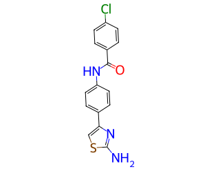 Nc1nc(-c2ccc(NC(=O)c3ccc(Cl)cc3)cc2)cs1